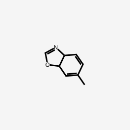 CC1=CC2OC=NC2C=C1